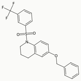 O=S(=O)(c1cccc(C(F)(F)F)c1)N1CCCc2cc(OCc3ccccc3)ccc21